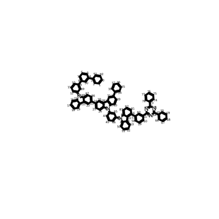 c1ccc(-c2cccc(-c3cccc(-n4c5ccccc5c5cc(-c6ccc7c(c6)c6cc(-c8ccccc8)ccc6n7-c6cccc(-n7c8ccccc8c8c(-c9cccc(-c%10nc(-c%11ccccc%11)nc(-c%11ccccc%11)n%10)c9)cccc87)c6)ccc54)c3)c2)cc1